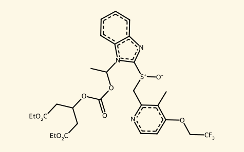 CCOC(=O)CC(CC(=O)OCC)OC(=O)OC(C)n1c([S+]([O-])Cc2nccc(OCC(F)(F)F)c2C)nc2ccccc21